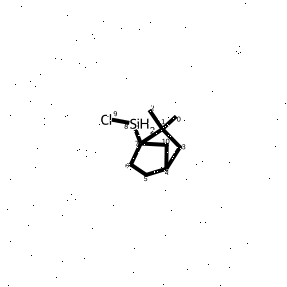 CC1(C)CC2CCC1([SiH2]Cl)C2